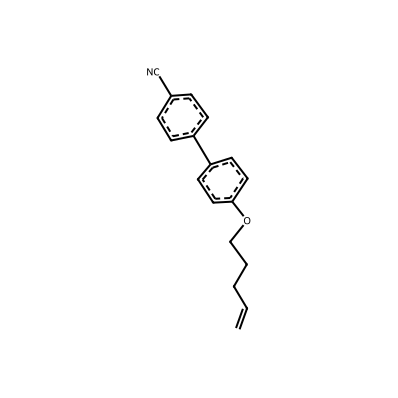 C=CCCCOc1ccc(-c2ccc(C#N)cc2)cc1